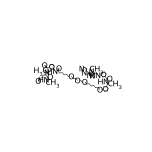 CNC(=O)C(CCC=O)N(C)Cc1c(C=O)cccc1NC(=O)CCCCCOCCOCCOCCCCCCOc1cccc([C@@H](C)NC(=O)c2cccc(NCc3nnc(-c4ccncn4)n3C)c2)c1